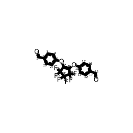 O=Cc1ccc(OC2=C(Oc3ccc(C=O)cc3)C(F)(F)C(F)(F)C2(F)F)cc1